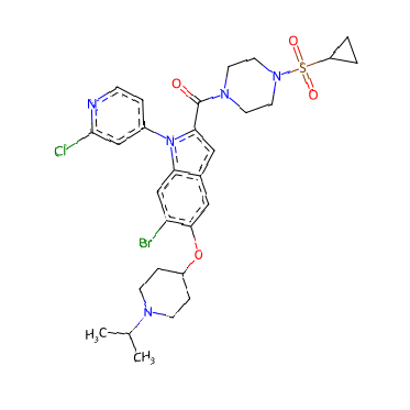 CC(C)N1CCC(Oc2cc3cc(C(=O)N4CCN(S(=O)(=O)C5CC5)CC4)n(-c4ccnc(Cl)c4)c3cc2Br)CC1